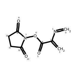 C=NC(=C)C(=O)ON1C(=O)CCC1=O